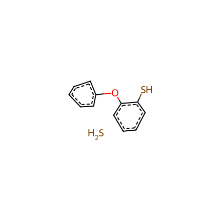 S.Sc1ccccc1Oc1ccccc1